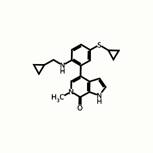 Cn1cc(-c2cc(SC3CC3)ccc2NCC2CC2)c2cc[nH]c2c1=O